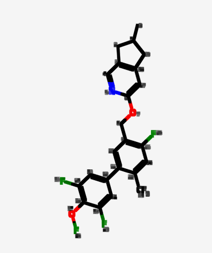 CC1Cc2cnc(OCc3cc(-c4cc(F)c(OF)c(F)c4)c(C(F)(F)F)cc3F)cc2C1